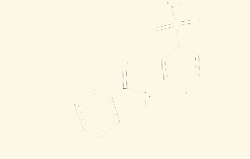 Cc1ccc(C(=O)Nc2cccc(S(N)(=O)=O)c2)cc1